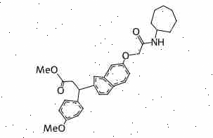 COC(=O)CC(c1ccc(OC)cc1)c1ccc2ccc(OCC(=O)NC3CCCCCC3)cc2c1